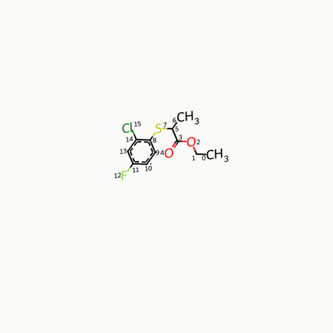 CCOC(=O)C(C)Sc1c[c]c(F)cc1Cl